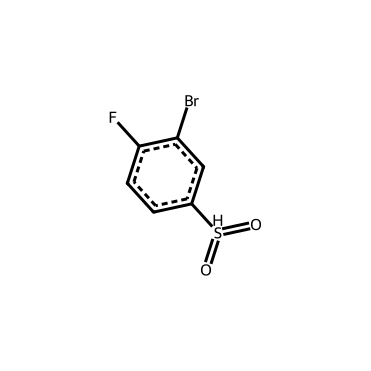 O=[SH](=O)c1ccc(F)c(Br)c1